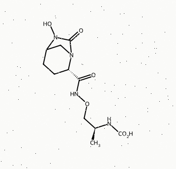 C[C@@H](CONC(=O)[C@@H]1CCC2CN1C(=O)N2O)NC(=O)O